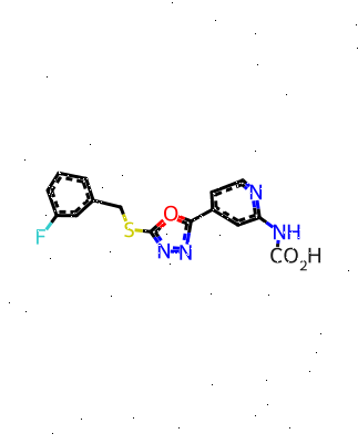 O=C(O)Nc1cc(-c2nnc(SCc3cccc(F)c3)o2)ccn1